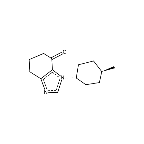 C[C@H]1CC[C@H](n2cnc3c2C(=O)CCC3)CC1